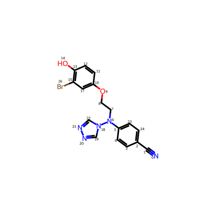 N#Cc1ccc(N(CCOc2ccc(O)c(Br)c2)n2cnnc2)cc1